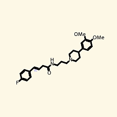 COc1ccc(C2CCN(CCCNC(=O)C/C=C/c3ccc(F)cc3)CC2)cc1OC